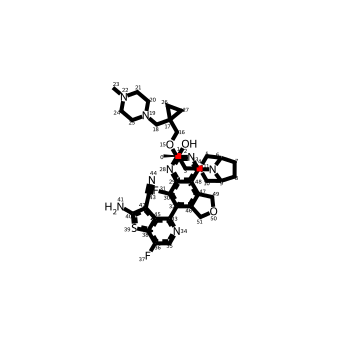 C[C@@H](O)CN1CC2CCC(C1)N2c1nc(OCC2(CN3CCN(C)CC3)CC2)nc2c(F)c(-c3ncc(F)c4sc(N)c(C#N)c34)c3c(c12)COC3